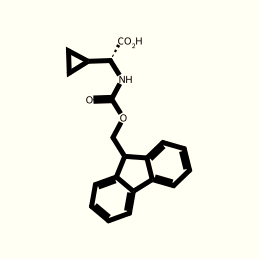 O=C(N[C@@H](C(=O)O)C1CC1)OCC1c2ccccc2-c2ccccc21